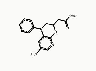 COC(=O)CC1CN(c2ccccc2)c2cc(N)cnc2O1